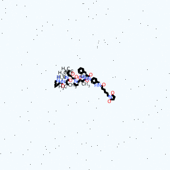 CC[C@H](C)[C@@H]([C@H](CC(=O)N1CCC[C@H]1[C@H](OC)[C@@H](C)C(=O)N[C@@H](Cc1ccccc1)C(=O)Nc1ccc(CNC(=O)CCCCCN2C(=O)C=CC2=O)cc1)OC)N(C)C(=O)[C@@H](NC(=O)[C@H]1NCC2CC21)C(C)C